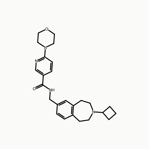 O=C(NCc1ccc2c(c1)CCN(C1CCC1)CC2)c1ccc(N2CCOCC2)nc1